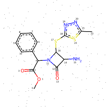 COC(=O)C(c1ccccc1)N1C(=O)C(N)C1Sc1nnc(C)s1